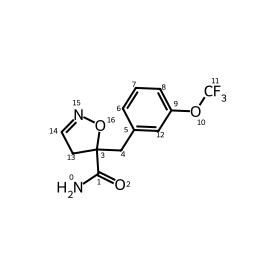 NC(=O)C1(Cc2cccc(OC(F)(F)F)c2)CC=NO1